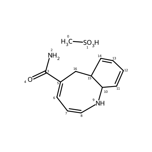 CS(=O)(=O)O.NC(=O)/C1=C/C=C\NC2C=CC=CC2C1